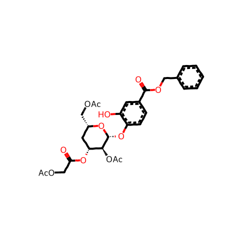 CC(=O)OCC(=O)O[C@@H]1C[C@H](COC(C)=O)O[C@H](Oc2ccc(C(=O)OCc3ccccc3)cc2O)[C@H]1OC(C)=O